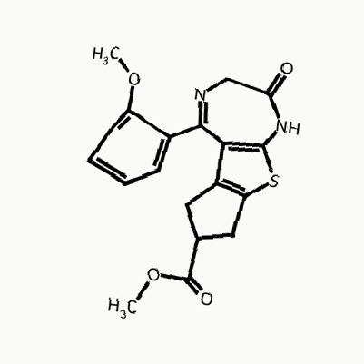 COC(=O)C1Cc2sc3c(c2C1)C(c1ccccc1OC)=NCC(=O)N3